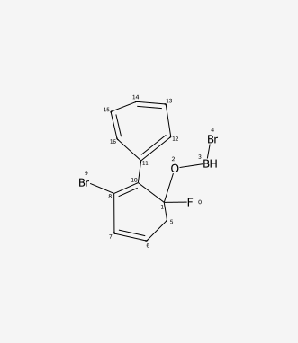 FC1(OBBr)CC=CC(Br)=C1c1ccccc1